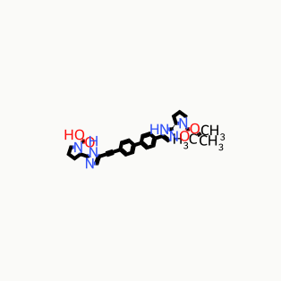 CC(C)(C)OC(=O)N1CCC[C@H]1c1ncc(-c2ccc(-c3ccc(C#Cc4cnc(C5CCCN5C(=O)O)[nH]4)cc3)cc2)[nH]1